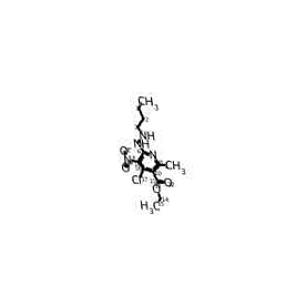 CCCCNNc1nc(C)c(C(=O)OCC)c(Cl)c1[N+](=O)[O-]